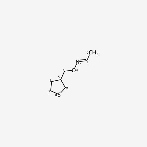 CC=NOCC1CCSC1